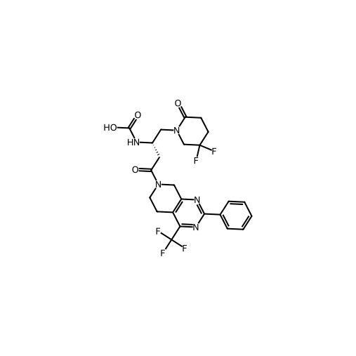 O=C(O)N[C@@H](CC(=O)N1CCc2c(nc(-c3ccccc3)nc2C(F)(F)F)C1)CN1CC(F)(F)CCC1=O